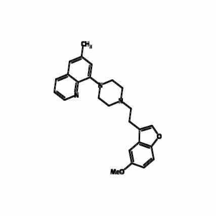 COc1ccc2occ(CCN3CCN(c4cc(C)cc5cccnc45)CC3)c2c1